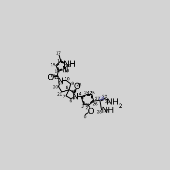 COc1cc(N2CCC3(CCN(C(=O)c4cc(C)[nH]n4)CC3)C2=O)ccc1/C(C=N)=C/N